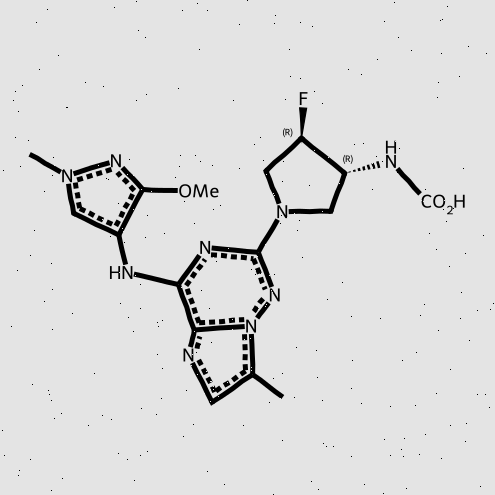 COc1nn(C)cc1Nc1nc(N2C[C@@H](F)[C@H](NC(=O)O)C2)nn2c(C)cnc12